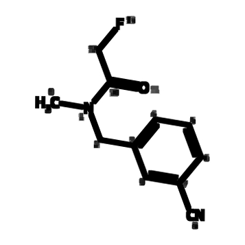 CN(Cc1cccc(C#N)c1)C(=O)CF